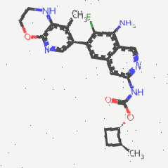 Cc1c(-c2cc3cc(NC(=O)O[C@H]4CC[C@@H]4C)ncc3c(N)c2F)cnc2c1NCCO2